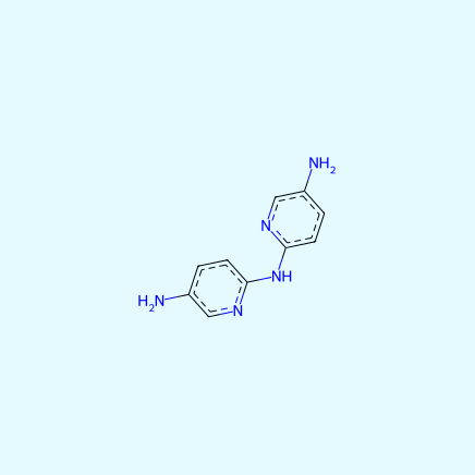 Nc1ccc(Nc2ccc(N)cn2)nc1